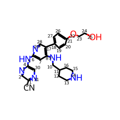 N#Cc1cnc(Nc2cc(NCC3CCNCC3)c(-c3ccc(OCCO)cc3)cn2)cn1